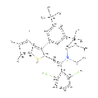 CC1=C(C)C2=C(c3cc(C(C)(C)C)cc(C(C)(C)C)c3)[CH]([Ti]=[C](c3c(F)cccc3F)N3CCCCC3)SC2=C1C